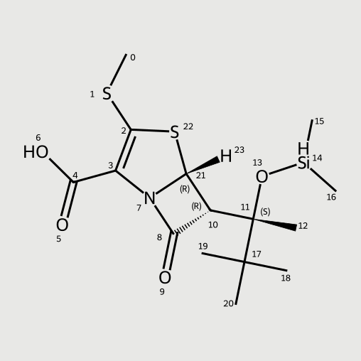 CSC1=C(C(=O)O)N2C(=O)[C@@H]([C@](C)(O[SiH](C)C)C(C)(C)C)[C@H]2S1